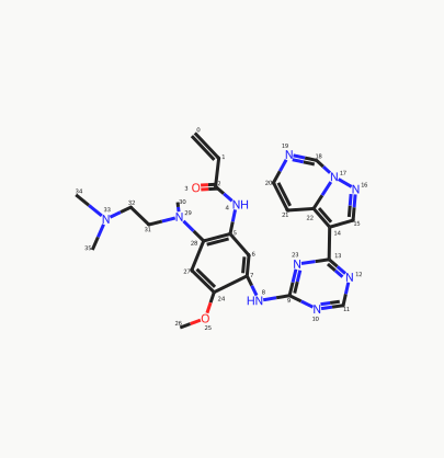 C=CC(=O)Nc1cc(Nc2ncnc(-c3cnn4cnccc34)n2)c(OC)cc1N(C)CCN(C)C